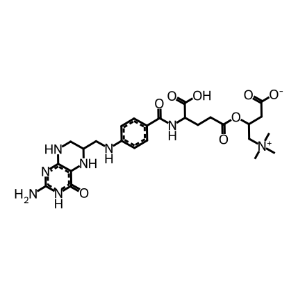 C[N+](C)(C)CC(CC(=O)[O-])OC(=O)CCC(NC(=O)c1ccc(NCC2CNc3nc(N)[nH]c(=O)c3N2)cc1)C(=O)O